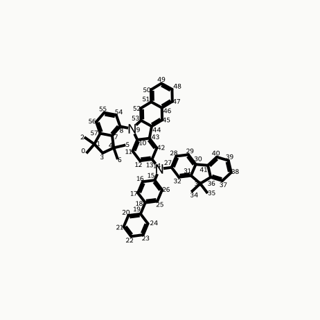 CC1(C)CC(C)(C)c2c(-n3c4ccc(N(c5ccc(-c6ccccc6)cc5)c5ccc6c(c5)C(C)(C)c5ccccc5-6)cc4c4cc5ccccc5cc43)cccc21